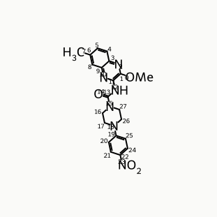 COc1nc2ccc(C)cc2nc1NC(=O)N1CCN(c2ccc([N+](=O)[O-])cc2)CC1